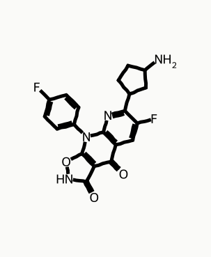 NC1CCC(c2nc3c(cc2F)c(=O)c2c(=O)[nH]oc2n3-c2ccc(F)cc2)C1